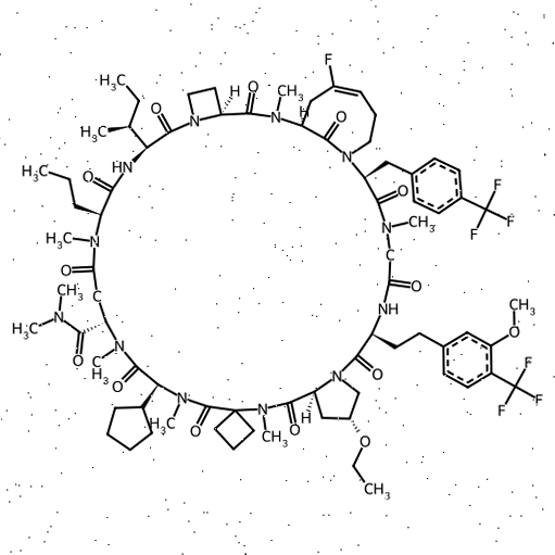 CCC[C@H]1C(=O)N[C@@H]([C@@H](C)CC)C(=O)N2CC[C@H]2C(=O)N(C)[C@H]2C/C(F)=C\CCN(C2=O)[C@@H](Cc2ccc(C(F)(F)F)cc2)C(=O)N(C)CC(=O)N[C@@H](CCc2ccc(C(F)(F)F)c(OC)c2)C(=O)N2C[C@H](OCC)C[C@H]2C(=O)N(C)C2(CCC2)C(=O)N(C)[C@@H](C2CCCC2)C(=O)N(C)[C@H](C(=O)N(C)C)CC(=O)N1C